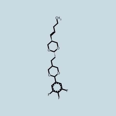 CCC/C=C/[C@H]1CO[C@H](CCC2COC(c3cc(F)c(F)c(F)c3)OC2)OC1